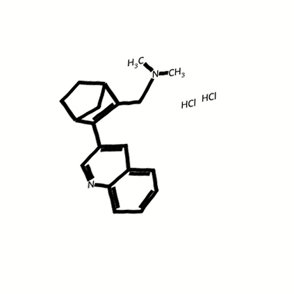 CN(C)CC1=C(c2cnc3ccccc3c2)C2CCC1C2.Cl.Cl